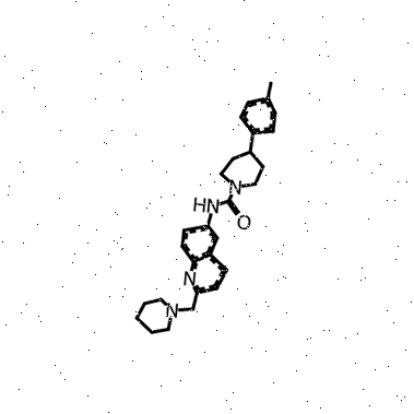 Cc1ccc(C2CCN(C(=O)Nc3ccc4nc(CN5CCCCC5)ccc4c3)CC2)cc1